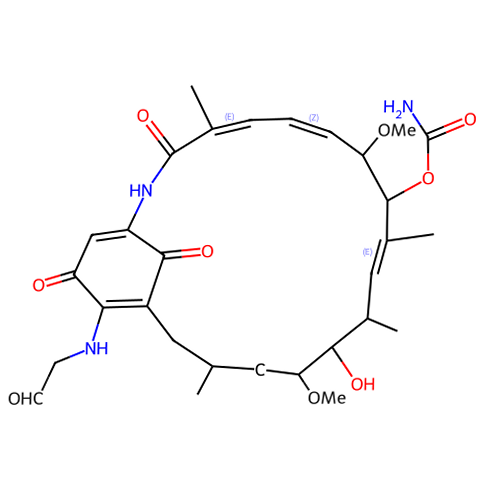 COC1/C=C\C=C(/C)C(=O)NC2=CC(=O)C(NCC=O)=C(CC(C)CC(OC)C(O)C(C)/C=C(\C)C1OC(N)=O)C2=O